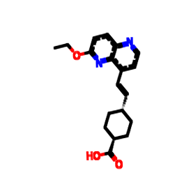 CCOc1ccc2nccc(/C=C/[C@H]3CC[C@H](C(=O)O)CC3)c2n1